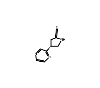 O=C1C[C@H](c2cnccn2)CN1